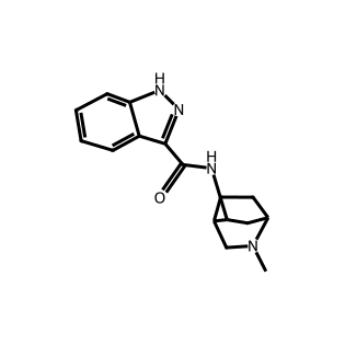 CN1CC2CCC1CC2NC(=O)c1n[nH]c2ccccc12